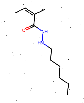 CC=C(C)C(=O)NNCCCCCC